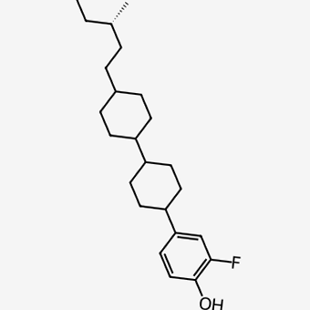 CC[C@H](C)CCC1CCC(C2CCC(c3ccc(O)c(F)c3)CC2)CC1